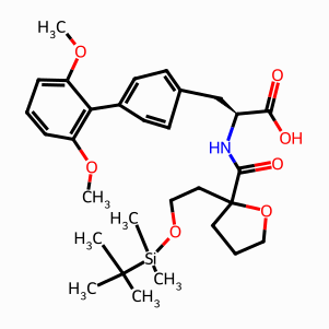 COc1cccc(OC)c1-c1ccc(C[C@H](NC(=O)C2(CCO[Si](C)(C)C(C)(C)C)CCCO2)C(=O)O)cc1